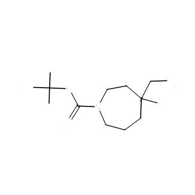 CC(C)(C)OC(=O)N1CCCC(F)(CBr)CC1